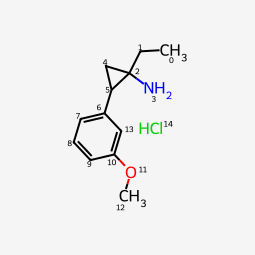 CCC1(N)CC1c1cccc(OC)c1.Cl